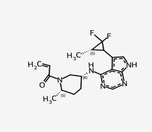 C=CC(=O)N1C[C@H](Nc2ncnc3[nH]cc(C4[C@H](C)C4(F)F)c23)CC[C@@H]1C